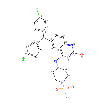 O=S(=O)(N1CCC(Nc2nc(O)nc3ccc(C(c4ccc(Cl)cc4)c4ccc(Cl)cc4)cc23)CC1)C(F)(F)F